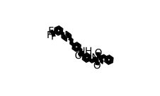 Cn1c(=O)/c(=C/c2ccc(C(=O)Nc3ccc(CCN4CCN(c5cccc(C(F)(F)F)c5)CC4)cc3)cc2)[nH]c(=O)/c1=C/c1ccccc1